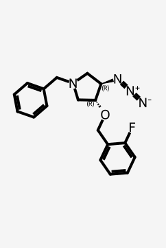 [N-]=[N+]=N[C@@H]1CN(Cc2ccccc2)C[C@H]1OCc1ccccc1F